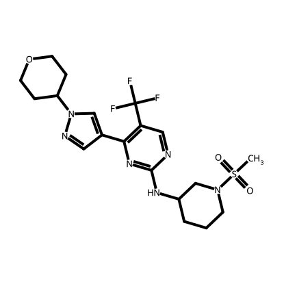 CS(=O)(=O)N1CCCC(Nc2ncc(C(F)(F)F)c(-c3cnn(C4CCOCC4)c3)n2)C1